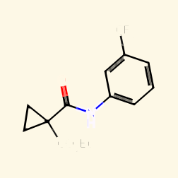 CCOC(=O)C1(C(=O)Nc2cccc(C(F)(F)F)c2)CC1